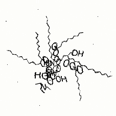 CCCCCCCCCCC[C@H](CC(=O)N[C@H]1[C@H](OCC[C@@H](CO)C(=O)C[C@@H](CCCCCCCCCCC)OC(=O)CCCCCCCCC)O[C@H](CO)[C@@H](OP(=O)(O)O)[C@@H]1OC(=O)C[C@@H](CCCCCCCCCCC)C(=O)CCCCCCCCC)OC(=O)CCCCCCCCC.CCN(CC)CC